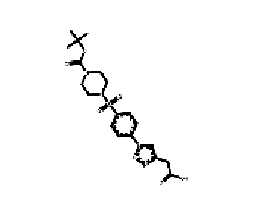 CC(C)(C)OC(=O)N1CCN(S(=O)(=O)c2ccc(-n3cc(CC(=O)O)nn3)cc2)CC1